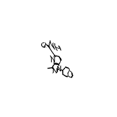 CNC(=O)c1ccc2c(n1)c(C)nn2C1CCOCC1